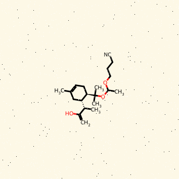 C=C(O)C(C)[C@@H]1CC(C)=CC[C@H]1C(C)(C)OC(C)OCCCC#N